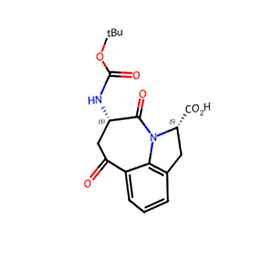 CC(C)(C)OC(=O)N[C@H]1CC(=O)c2cccc3c2N(C1=O)[C@H](C(=O)O)C3